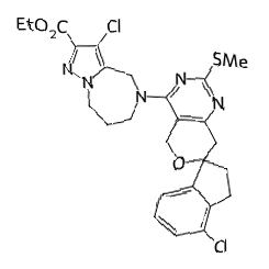 CCOC(=O)c1nn2c(c1Cl)CN(c1nc(SC)nc3c1COC1(CCc4c(Cl)cccc41)C3)CCC2